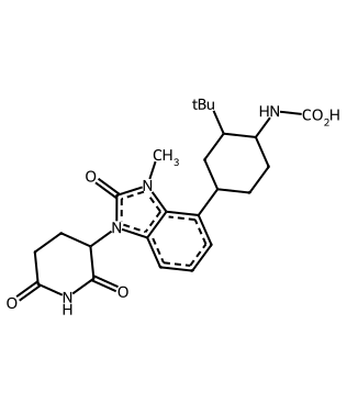 Cn1c(=O)n(C2CCC(=O)NC2=O)c2cccc(C3CCC(NC(=O)O)C(C(C)(C)C)C3)c21